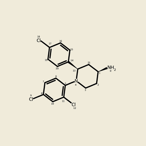 N[C@H]1CCN(c2ccc(Cl)cc2Cl)[C@@H](c2ccc(Cl)cc2)C1